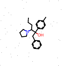 CCCC(N1CCCC1)C(O)(Cc1ccccc1)c1ccc(C)cc1